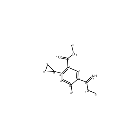 COC(=O)c1cc(C(=N)SC)c(C)cc1C1CC1